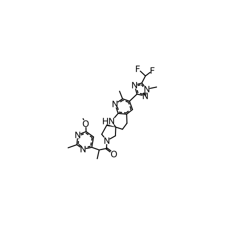 COc1cc(C(C)C(=O)N2CC[C@@]3(CCc4cc(-c5nc(C(F)F)n(C)n5)c(C)nc4N3)C2)nc(C)n1